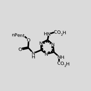 CCCCCOC(=O)Nc1nc(NC(=O)O)nc(NC(=O)O)n1